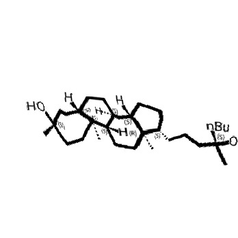 CCCC[C@](C)(O)CCC[C@H]1CC[C@H]2[C@@H]3CC[C@H]4C[C@@](C)(O)CC[C@]4(C)[C@H]3CC[C@]12C